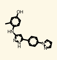 Cc1cc(O)ccc1Nc1cc(-c2ccc(-n3cccn3)cc2)[nH]n1